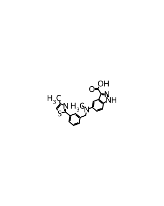 Cc1csc(-c2cccc(CN(C)c3ccc4[nH]nc(C(=O)O)c4c3)c2)n1